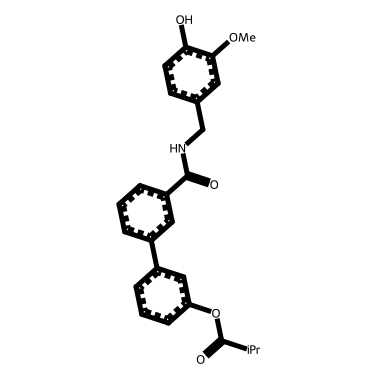 COc1cc(CNC(=O)c2cccc(-c3cccc(OC(=O)C(C)C)c3)c2)ccc1O